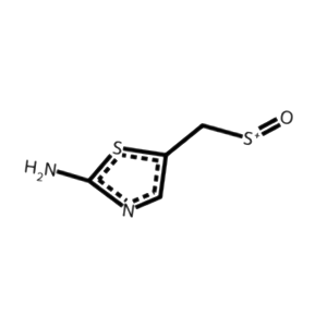 Nc1ncc(C[S+]=O)s1